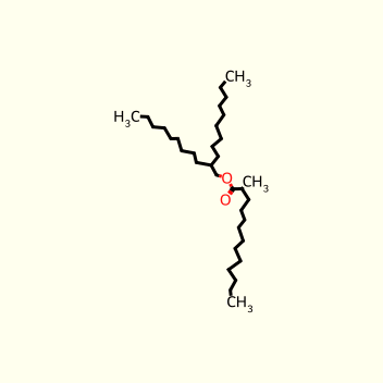 CCCCCCCCCCCC(C)C(=O)OCC(CCCCCCCCC)CCCCCCCCC